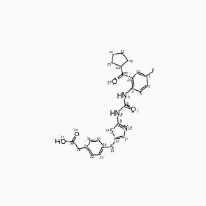 Cc1ccc(NC(=O)Nc2ncc(Sc3ccc(CC(=O)O)cc3)s2)c(C(=O)C2CCCC2)c1